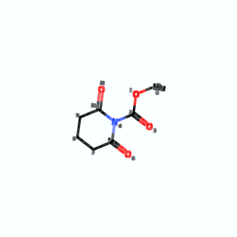 CC(C)(C)OC(=O)N1C(=O)CCCC1=O